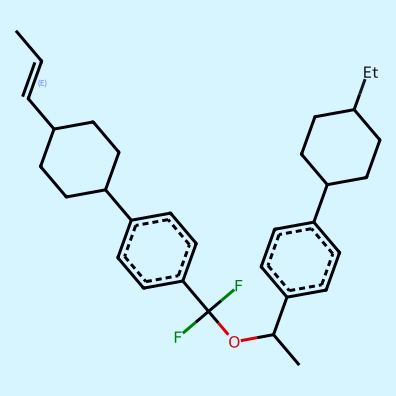 C/C=C/C1CCC(c2ccc(C(F)(F)OC(C)c3ccc(C4CCC(CC)CC4)cc3)cc2)CC1